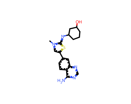 Cn1cc(-c2ccc3c(N)ncnc3c2)sc1=NC1CCCC(O)C1